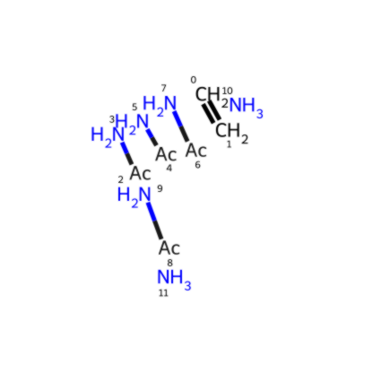 C=C.CC(N)=O.CC(N)=O.CC(N)=O.CC(N)=O.N.N